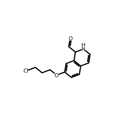 O=CC1NC=Cc2ccc(OCCCCl)cc21